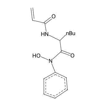 C=CC(=O)NC(CCCC)C(=O)N(O)c1ccccc1